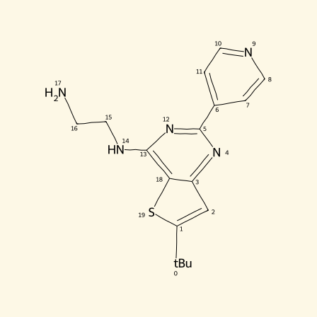 CC(C)(C)c1cc2nc(-c3ccncc3)nc(NCCN)c2s1